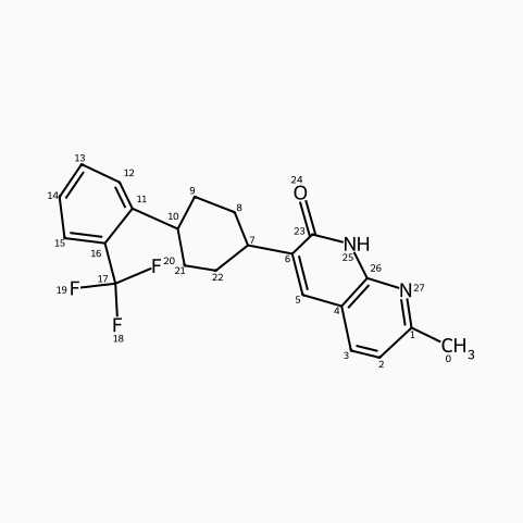 Cc1ccc2cc(C3CCC(c4ccccc4C(F)(F)F)CC3)c(=O)[nH]c2n1